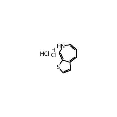 C1=CNC=c2sccc2=C1.Cl.Cl